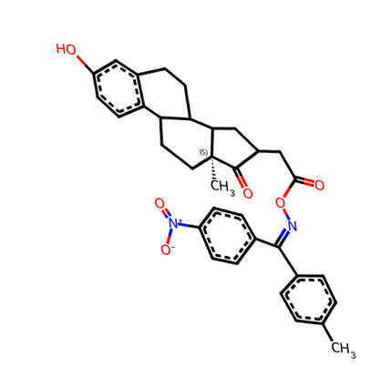 Cc1ccc(C(=NOC(=O)CC2CC3C4CCc5cc(O)ccc5C4CC[C@]3(C)C2=O)c2ccc([N+](=O)[O-])cc2)cc1